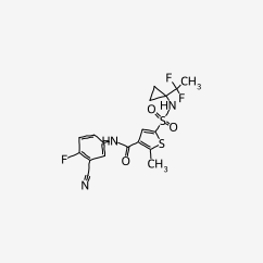 Cc1sc(S(=O)(=O)NC2(C(C)(F)F)CC2)cc1C(=O)Nc1ccc(F)c(C#N)c1